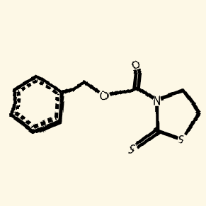 O=C(OCc1ccccc1)N1CCSC1=S